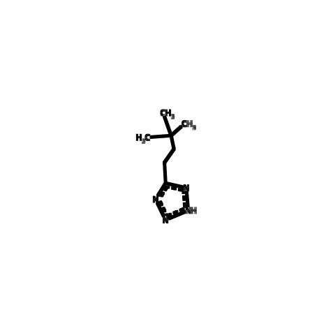 CC(C)(C)CCc1nn[nH]n1